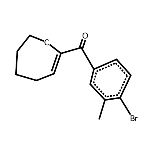 Cc1cc(C(=O)C2=CCCCCC2)ccc1Br